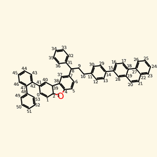 C1=CC2Oc3ccc(C(CCc4ccc(-c5ccc6c(ccc7ccccc76)c5)cc4)c4ccccc4)cc3C2C=C1c1ccccc1-c1ccccc1